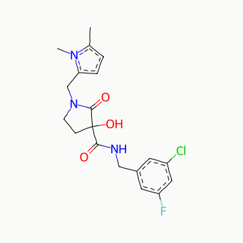 Cc1ccc(CN2CCC(O)(C(=O)NCc3cc(F)cc(Cl)c3)C2=O)n1C